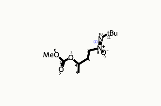 COC(=O)OC(C)CC/[N+]([O-])=N/C(C)(C)C